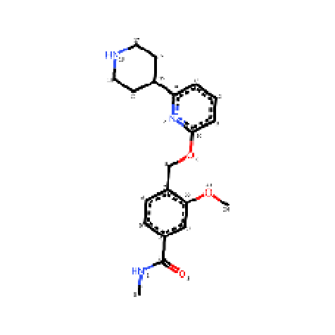 CNC(=O)c1ccc(COc2cccc(C3CCNCC3)n2)c(OC)c1